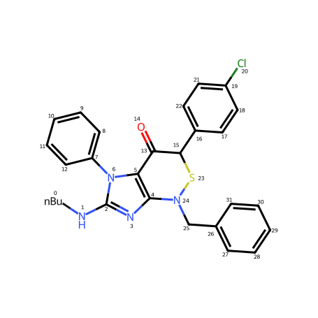 CCCCNc1nc2c(n1-c1ccccc1)C(=O)C(c1ccc(Cl)cc1)SN2Cc1ccccc1